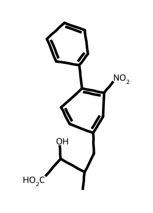 CC(Cc1ccc(-c2ccccc2)c([N+](=O)[O-])c1)C(O)C(=O)O